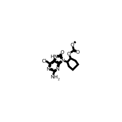 COC(=O)OC1CCCCC1n1c(=O)[nH]c2c(Cl)nc(N)nc21